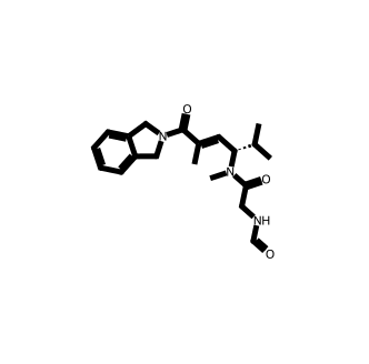 C/C(=C\[C@H](C(C)C)N(C)C(=O)CNC=O)C(=O)N1Cc2ccccc2C1